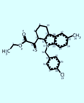 CCOC(=O)C(=S)C1CCCc2c1n(Cc1ccc(Cl)cc1)c1ccc(C)cc21